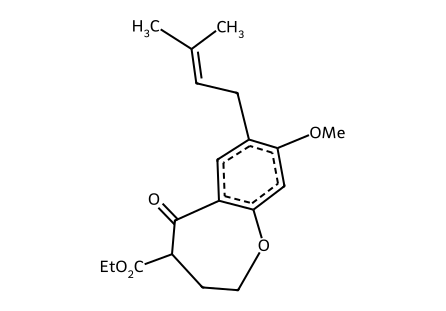 CCOC(=O)C1CCOc2cc(OC)c(CC=C(C)C)cc2C1=O